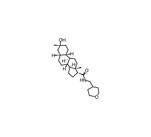 C[C@@]1(O)CC[C@H]2[C@H](CC[C@@H]3[C@@H]2CC[C@]2(C)[C@@H](C(=O)NCC4CCOCC4)CC[C@@H]32)C1